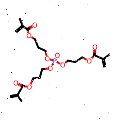 C=C(C)C(=O)OCCCOP(=O)(OCCCOC(=O)C(=C)C)OCCCOC(=O)C(=C)C